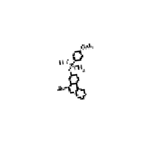 COc1ccc(C(C)(C)Cc2ccc3c(c2)c(C(C)(C)C)cc2ccccc23)cc1